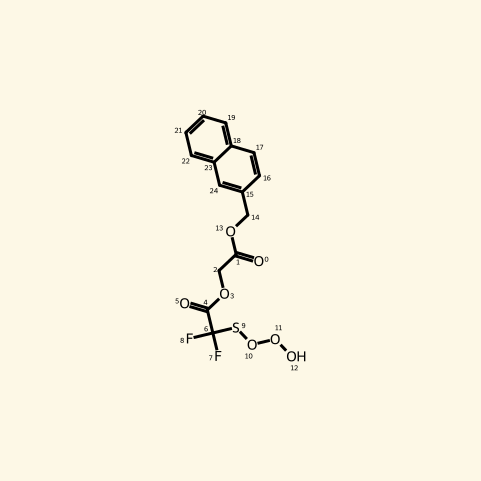 O=C(COC(=O)C(F)(F)SOOO)OCc1ccc2ccccc2c1